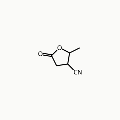 CC1OC(=O)CC1C#N